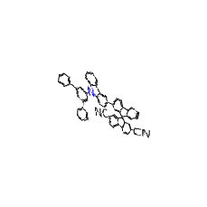 N#Cc1ccc2c(c1)C1(c3ccccc3-c3ccc(-c4ccc5c(c4)c4ccccc4n5-c4cc(-c5ccccc5)cc(-c5ccccc5)c4)cc31)c1cc(C#N)ccc1-2